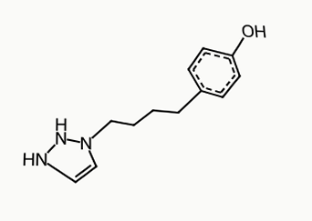 Oc1ccc(CCCCN2C=CNN2)cc1